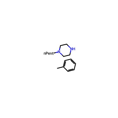 CCCCCN1CCNCC1.Cc1ccccc1